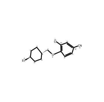 CC[C@H]1CC[C@H](COc2ccc(C#N)cc2Cl)CC1